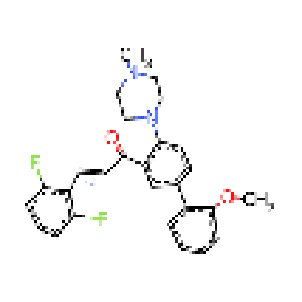 COc1ccccc1-c1ccc(N2CCN(C)CC2)c(C(=O)/C=C/c2c(F)cccc2F)c1